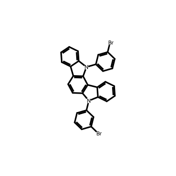 Brc1cccc(-n2c3ccccc3c3c2ccc2c4ccccc4n(-c4cccc(Br)c4)c23)c1